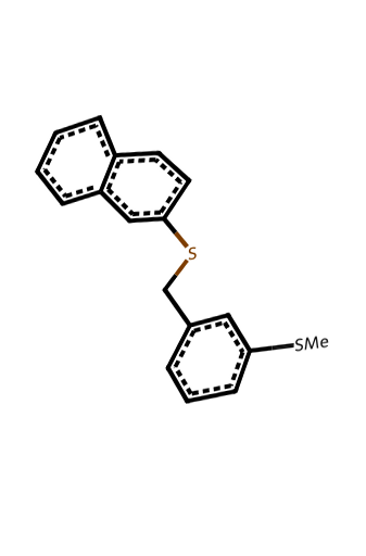 CSc1cccc(CSc2ccc3ccccc3c2)c1